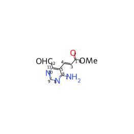 COC(=O)/C=C/c1c(N)ncnc1C=O